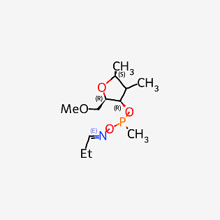 CC/C=N/OP(C)O[C@@H]1C(C)[C@H](C)O[C@@H]1COC